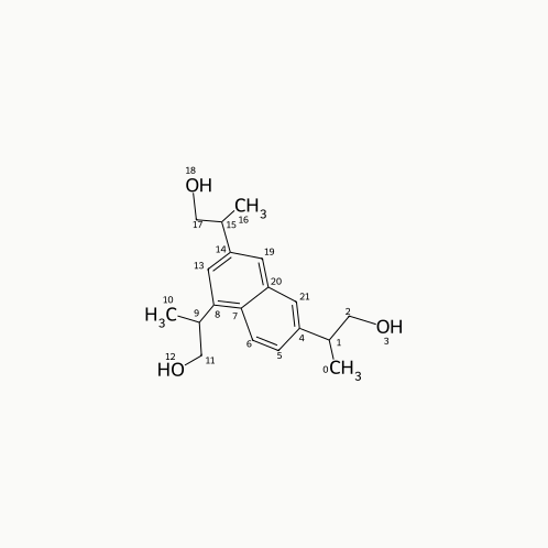 CC(CO)c1ccc2c(C(C)CO)cc(C(C)CO)cc2c1